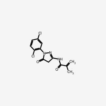 C=C(C)C(=O)NC1=NN(c2cc(Cl)ccc2Cl)C(=O)C1